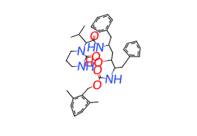 Cc1cccc(C)c1COC(=O)NC(Cc1ccccc1)C(O)CC(Cc1ccccc1)NC(=O)C(C(C)C)N1CCCNC1=O